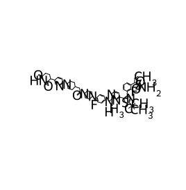 CCC(c1cccc(-c2nc(C(C)(C)C)sc2-c2ccnc(Nc3ccc(N4CCN(C(=O)CC5CCN(c6ccc(C7CCC(=O)NC7=O)cn6)CC5)CC4)c(F)c3)n2)c1F)S(N)(=O)=O